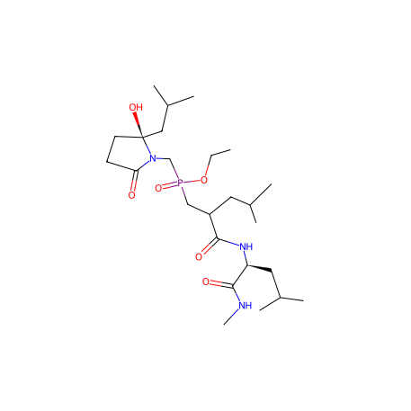 CCOP(=O)(CC(CC(C)C)C(=O)N[C@@H](CC(C)C)C(=O)NC)CN1C(=O)CC[C@]1(O)CC(C)C